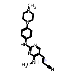 CNc1nc(Nc2ccc(N3CCN(C)CC3)cc2)ncc1/C=C/C#N